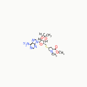 COC(=O)C1CC(SC[C@H]2O[C@@H](n3cnc4c(N)ncnc43)[C@@H]3OC(C)(C)O[C@H]32)CN1C